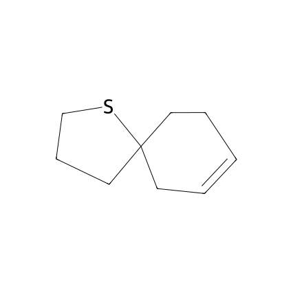 C1=CCC2(CC1)CCCS2